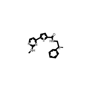 CNc1nccc(-c2ccc(C(=O)NC[C@@H](C)c3ccccc3)s2)n1